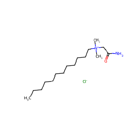 CCCCCCCCCCCC[N+](C)(C)CC(N)=O.[Cl-]